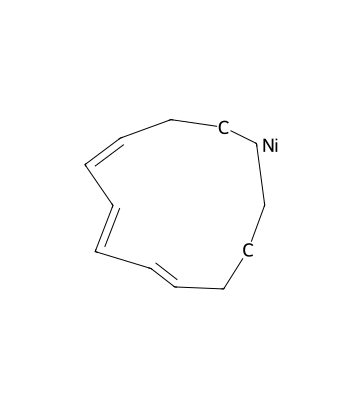 C1=C\CCCCCC/C=C/C=C/1.[Ni]